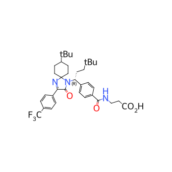 CC(C)(C)CC[C@H](c1ccc(C(=O)NCCC(=O)O)cc1)N1C(=O)C(c2ccc(C(F)(F)F)cc2)=NC12CCC(C(C)(C)C)CC2